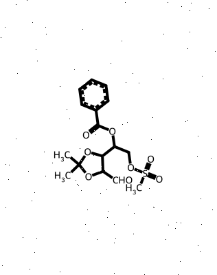 CC1(C)OC(C=O)C(C(COS(C)(=O)=O)OC(=O)c2ccccc2)O1